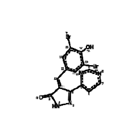 O=C1NN=C(c2ccncn2)/C1=C\c1cc(Br)c(O)c(Br)c1